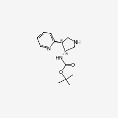 CC(C)(C)OC(=O)N[C@H]1CNC[C@@H]1c1ccccn1